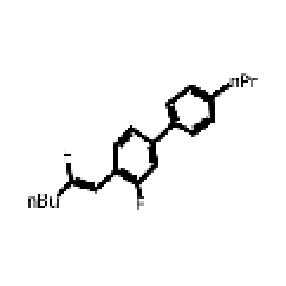 CCCCC(F)=Cc1ccc(-c2ccc(CCC)cc2)cc1F